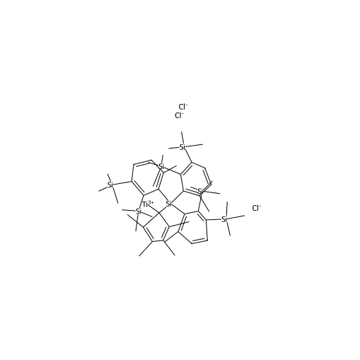 CC1=C(C)[C]([Ti+3])([Si](c2c(C)ccc([Si](C)(C)C)c2[Si](C)(C)C)(c2c(C)ccc([Si](C)(C)C)c2[Si](C)(C)C)c2c(C)ccc([Si](C)(C)C)c2[Si](C)(C)C)C(C)=C1C.[Cl-].[Cl-].[Cl-]